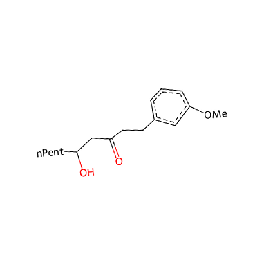 CCCCCC(O)CC(=O)CCc1cccc(OC)c1